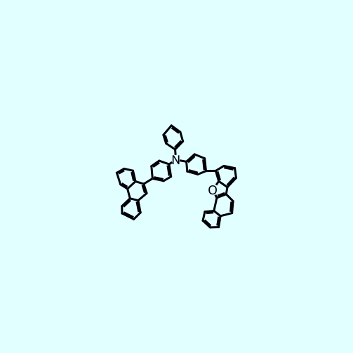 c1ccc(N(c2ccc(-c3cc4ccccc4c4ccccc34)cc2)c2ccc(-c3cccc4c3oc3c5ccccc5ccc43)cc2)cc1